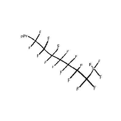 CCCC(F)(F)C(F)(F)C(F)(F)C(F)(F)C(F)(F)C(F)(F)C(F)(F)[Si](F)(F)F